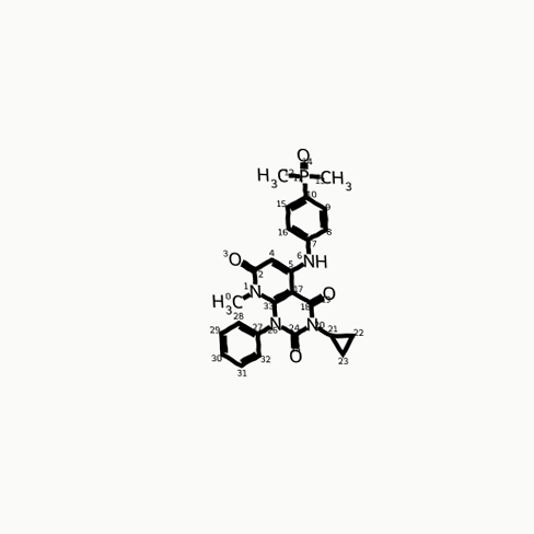 Cn1c(=O)cc(Nc2ccc(P(C)(C)=O)cc2)c2c(=O)n(C3CC3)c(=O)n(-c3ccccc3)c21